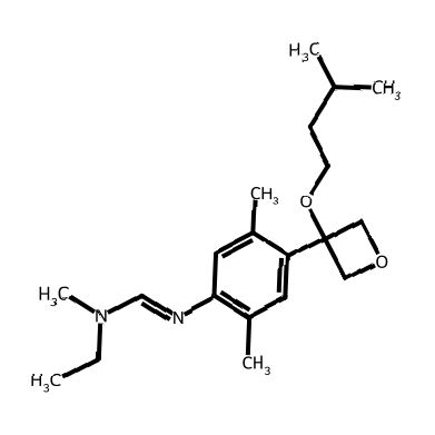 CCN(C)C=Nc1cc(C)c(C2(OCCC(C)C)COC2)cc1C